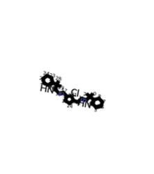 CC1(C)C2=C(C=CCC2)N/C1=C\CC1CCC(/C=C/C2NC3=C(CCCC3)C2(C)C)C1Cl